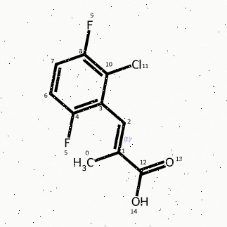 C/C(=C\c1c(F)ccc(F)c1Cl)C(=O)O